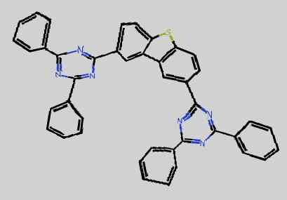 c1ccc(-c2nc(-c3ccccc3)nc(-c3ccc4sc5ccc(-c6nc(-c7ccccc7)nc(-c7ccccc7)n6)cc5c4c3)n2)cc1